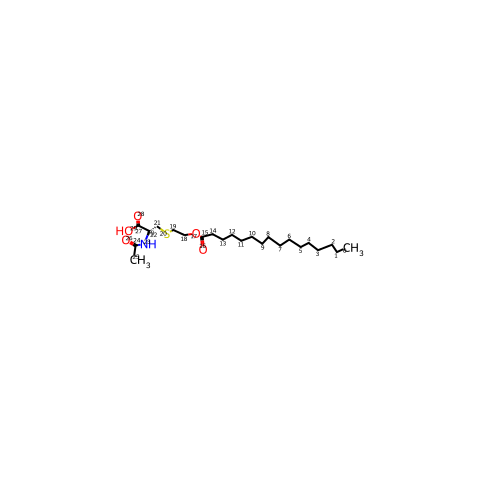 CCCCCCCCCCCCCCCC(=O)OCCSC[C@H](NC(C)=O)C(=O)O